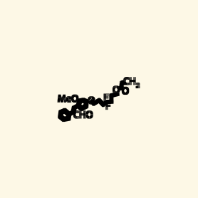 C=CC(=O)OCCCC(F)(F)CCCOc1ccc(/C=C(\C=O)c2ccccc2)c(OC)c1